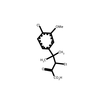 CCC(C(=O)C(=O)O)C(C)(C)c1ccc(Cl)c(OC)c1